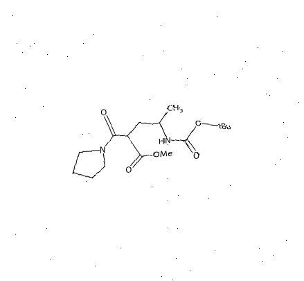 COC(=O)C(CC(C)NC(=O)OC(C)(C)C)C(=O)N1CCCC1